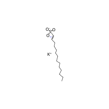 CCCCCCCCCCCC/C=C/S(=O)(=O)[O-].[K+]